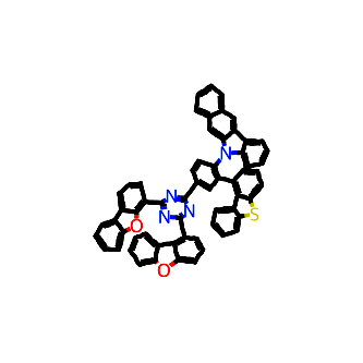 c1ccc2cc3c(cc2c1)c1ccccc1n3-c1ccc(-c2nc(-c3cccc4c3oc3ccccc34)nc(-c3cccc4oc5ccccc5c34)n2)cc1-c1cccc2sc3ccccc3c12